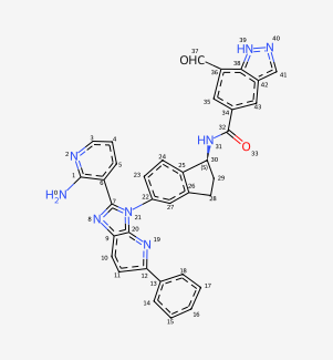 Nc1ncccc1-c1nc2ccc(-c3ccccc3)nc2n1-c1ccc2c(c1)CC[C@@H]2NC(=O)c1cc(C=O)c2[nH]ncc2c1